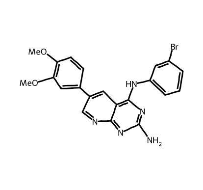 COc1ccc(-c2cnc3nc(N)nc(Nc4cccc(Br)c4)c3c2)cc1OC